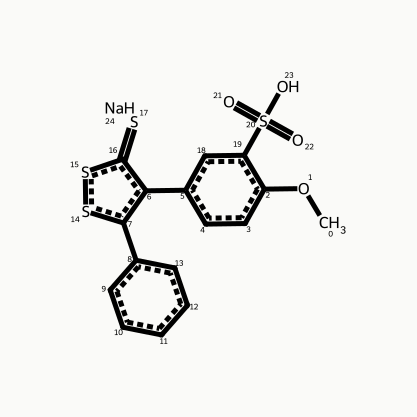 COc1ccc(-c2c(-c3ccccc3)ssc2=S)cc1S(=O)(=O)O.[NaH]